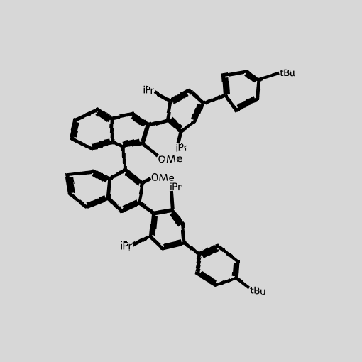 COc1c(-c2c(C(C)C)cc(-c3ccc(C(C)(C)C)cc3)cc2C(C)C)cc2ccccc2c1-c1c(OC)c(-c2c(C(C)C)cc(-c3ccc(C(C)(C)C)cc3)cc2C(C)C)cc2ccccc12